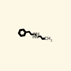 C=CCNNCCc1ccccc1